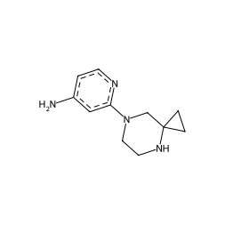 Nc1ccnc(N2CCNC3(CC3)C2)c1